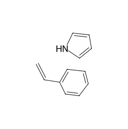 C=Cc1ccccc1.c1cc[nH]c1